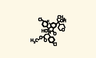 CCOC(=O)CC(c1ccc(Cl)cc1)N1C(=O)c2cc(C(O)(CC)C3CCOCC3)cc(F)c2C1(O)c1ccc(Cl)cc1